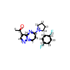 CC(=O)c1cnn2ccc(N3CCC[C@@H]3c3cc(F)ccc3F)nc12